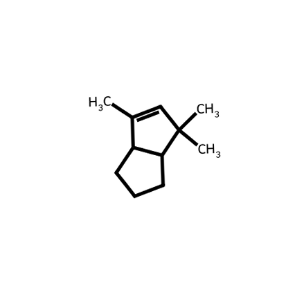 CC1=CC(C)(C)C2CCCC12